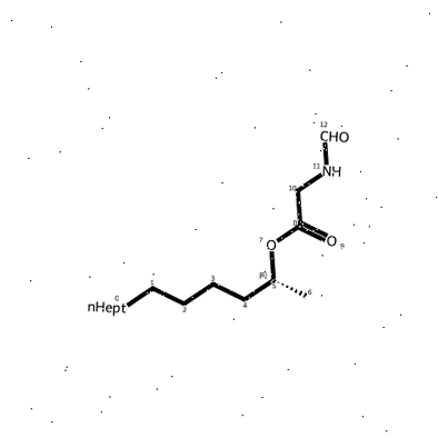 CCCCCCCCCCC[C@@H](C)OC(=O)CNC=O